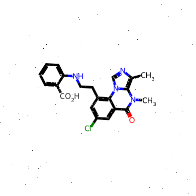 Cc1ncn2c3c(CCNc4ccccc4C(=O)O)cc(Cl)cc3c(=O)n(C)c12